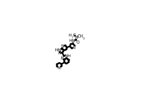 CN(C)C(=O)Nc1cncc(-c2cnc3[nH]nc(-c4nc5c(-c6cccnc6)cccc5[nH]4)c3c2)c1